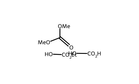 CCOC(=O)O.COC(=O)OC.O=C(O)O